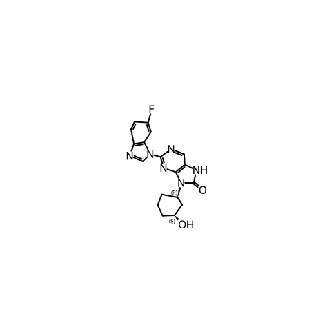 O=c1[nH]c2cnc(-n3cnc4ccc(F)cc43)nc2n1[C@@H]1CCC[C@H](O)C1